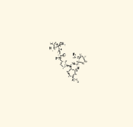 Cc1ccc2c(N3CC[C@@H](NC(=O)OCC(C)(C)C)C3)nc(-c3ccccc3CF)nc2c1